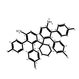 Cc1ccc(-c2c(N)ccc(C3(c4ccc(N)c(-c5ccc(C)cc5)c4-c4ccc(C)cc4)CCCCC3)c2-c2ccc(C)cc2)cc1